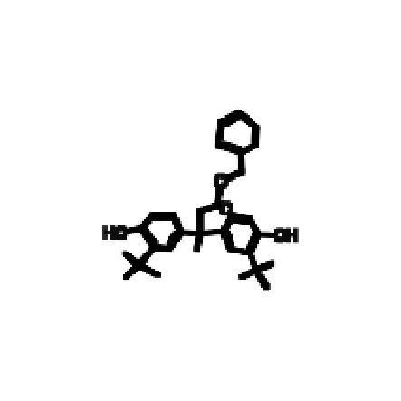 CC(C)(C)c1cc(C(C)(CC(=O)OCc2ccccc2)c2ccc(O)c(C(C)(C)C)c2)ccc1O